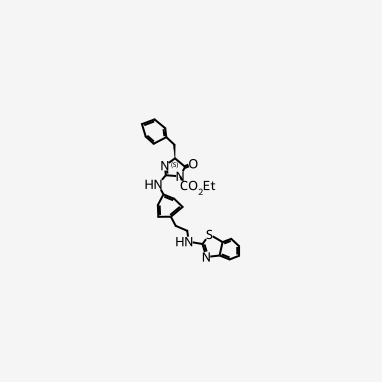 CCOC(=O)N1C(=O)[C@H](Cc2ccccc2)N=C1Nc1ccc(CCNc2nc3ccccc3s2)cc1